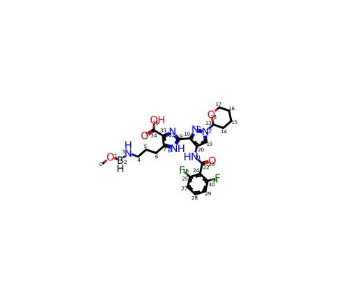 COBNCCCc1[nH]c(-c2nn(C3CCCCO3)cc2NC(=O)c2c(F)cccc2F)nc1C(=O)O